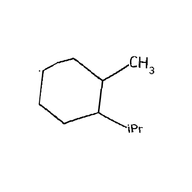 CC(C)C1CC[CH]CC1C